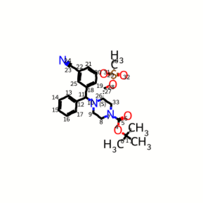 CC(C)(C)OC(=O)N1CCN(C(c2ccccc2)c2cccc(C#N)c2)[C@H](COS(C)(=O)=O)C1